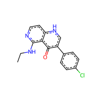 CCNc1nccc2[nH]cc(-c3ccc(Cl)cc3)c(=O)c12